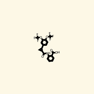 O=C(O)c1ccccc1NC(=O)C1CC1c1ccc(OC(F)(F)F)c(OC(F)(F)F)c1